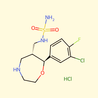 Cl.NS(=O)(=O)NC[C@H]1CNCCO[C@@H]1c1ccc(F)c(Cl)c1